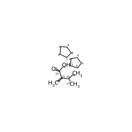 C1CCCC1.C1CCCC1.C=C(C(=O)O)C(C)C